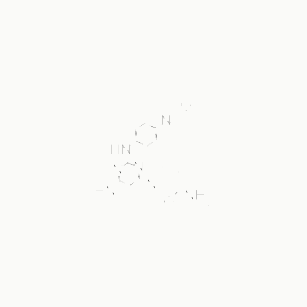 NC(=O)C1C2CCC(C2)C1Nc1nc(Nc2ccc(N3CCOCC3)cc2)nc2c1CCN2